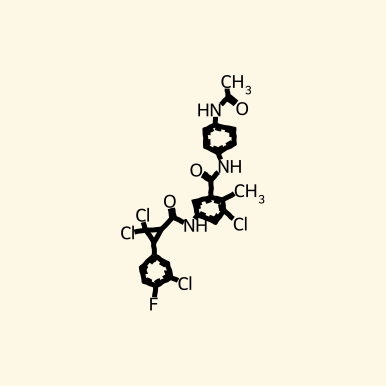 CC(=O)Nc1ccc(NC(=O)c2cc(NC(=O)C3C(c4ccc(F)c(Cl)c4)C3(Cl)Cl)cc(Cl)c2C)cc1